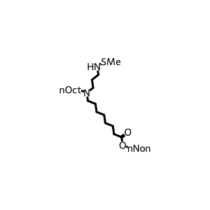 CCCCCCCCCOC(=O)CCCCCCCN(CCCCCCCC)CCCNSC